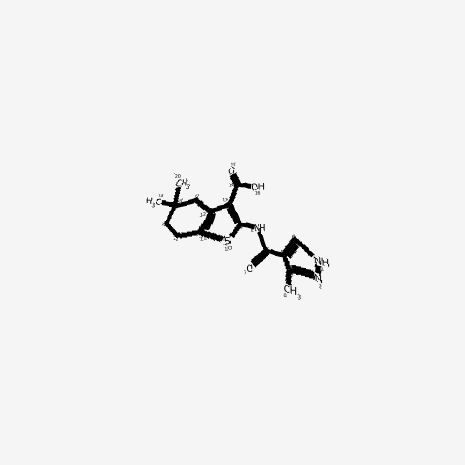 Cc1n[nH]cc1C(=O)Nc1sc2c(c1C(=O)O)CC(C)(C)CC2